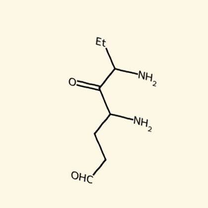 CCC(N)C(=O)C(N)CCC=O